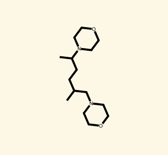 CC(CCC(C)N1CCOCC1)CN1CCOCC1